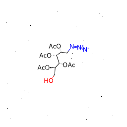 CC(=O)O[C@@H]([C@H](OC(C)=O)[C@@H](CN=[N+]=[N-])OC(C)=O)[C@@H](CO)OC(C)=O